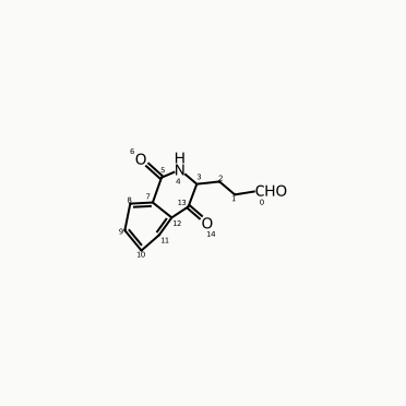 O=CCCC1NC(=O)c2ccccc2C1=O